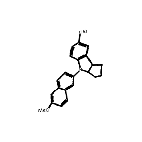 COc1ccc2cc(N3c4ccc(C=O)cc4C4CCCC43)ccc2c1